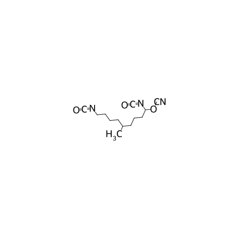 CC(CCCCN=C=O)CCCC(N=C=O)OC#N